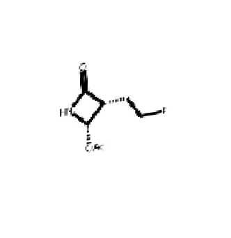 CC(=O)O[C@@H]1NC(=O)[C@@H]1CCF